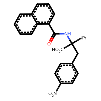 CC(C)C(Cc1ccc([N+](=O)[O-])cc1)(NC(=O)c1cccc2ccccc12)C(=O)O